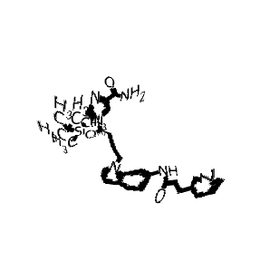 CC(C)(C)[Si](C)(C)O[C@H](CCCn1ccc2ccc(NC(=O)CCc3cccnc3)cc21)n1cnc(C(N)=O)c1